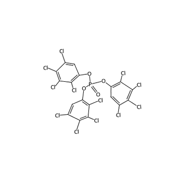 O=P(Oc1cc(Cl)c(Cl)c(Cl)c1Cl)(Oc1cc(Cl)c(Cl)c(Cl)c1Cl)Oc1cc(Cl)c(Cl)c(Cl)c1Cl